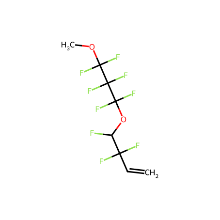 C=CC(F)(F)C(F)OC(F)(F)C(F)(F)C(F)(F)OC